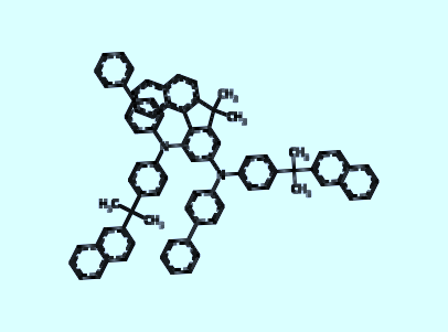 CC(C)(c1ccc(N(c2ccc(-c3ccccc3)cc2)c2cc(N(c3ccc(-c4ccccc4)cc3)c3ccc(C(C)(C)c4ccc5ccccc5c4)cc3)c3c(c2)C(C)(C)c2ccc4ccccc4c2-3)cc1)c1ccc2ccccc2c1